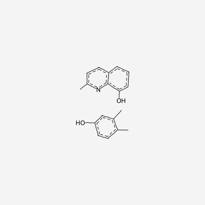 Cc1ccc(O)cc1C.Cc1ccc2cccc(O)c2n1